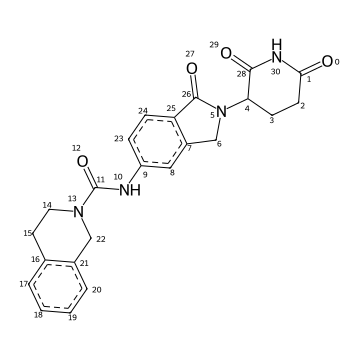 O=C1CCC(N2Cc3cc(NC(=O)N4CCc5ccccc5C4)ccc3C2=O)C(=O)N1